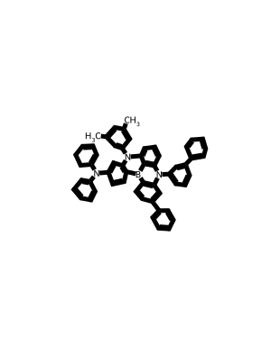 Cc1cc(C)cc(N2c3cc(N(C4=CC=CCC4)c4ccccc4)ccc3B3c4ccc(-c5ccccc5)cc4N(c4cccc(-c5ccccc5)c4)c4cccc2c43)c1